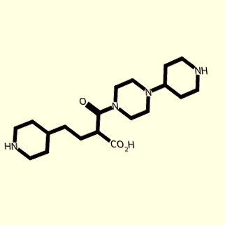 O=C(O)C(CCC1CCNCC1)C(=O)N1CCN(C2CCNCC2)CC1